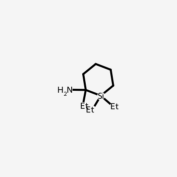 CCC1(N)CCCC[Si]1(CC)CC